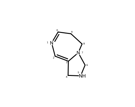 C1=NC=C2CNCN2CC1